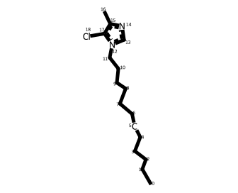 CCCCCCCCCCCCn1cnc(C)c1Cl